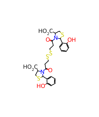 O=C(O)C1CSC(c2ccccc2O)N1C(=O)CCSSCCC(=O)N1C(C(=O)O)CSC1c1ccccc1O